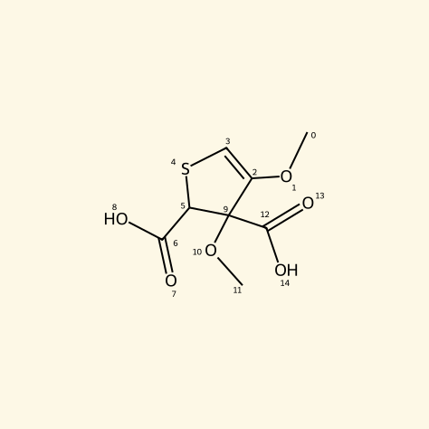 COC1=CSC(C(=O)O)C1(OC)C(=O)O